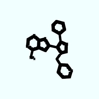 Nc1ncnc2sc(-c3c(-c4ccccc4)ncn3Cc3cccnc3)cc12